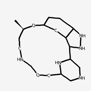 C[C@@H]1CCNCOCC2CNCC(N2)C2NNC3CCC(CC32)O1